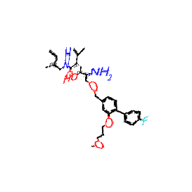 CC[C@H](C)CNC(=O)[C@@H](C[C@H](O)[C@@H](N)COCc1ccc(-c2ccc(F)cc2)c(OCCCOC)c1)C(C)C